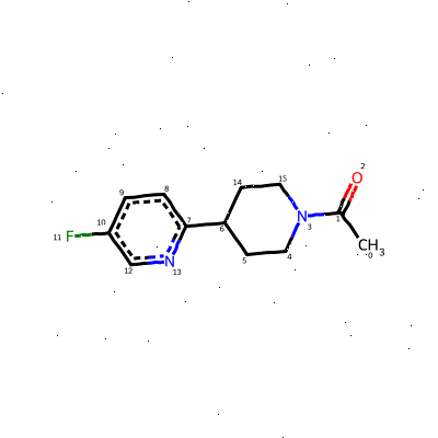 CC(=O)N1CCC(c2ccc(F)cn2)CC1